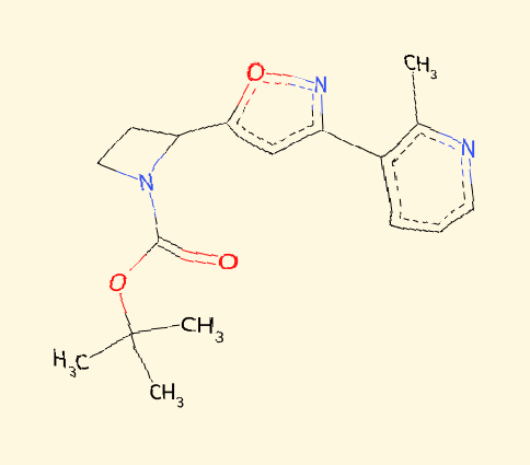 Cc1ncccc1-c1cc(C2CCN2C(=O)OC(C)(C)C)on1